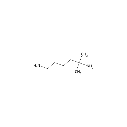 CC(C)(N)CCCCN